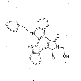 O=C1c2c(c3c4ccccc4n(CCc4ccccc4)c3c3[nH]c4ccccc4c23)C(=O)N1CO